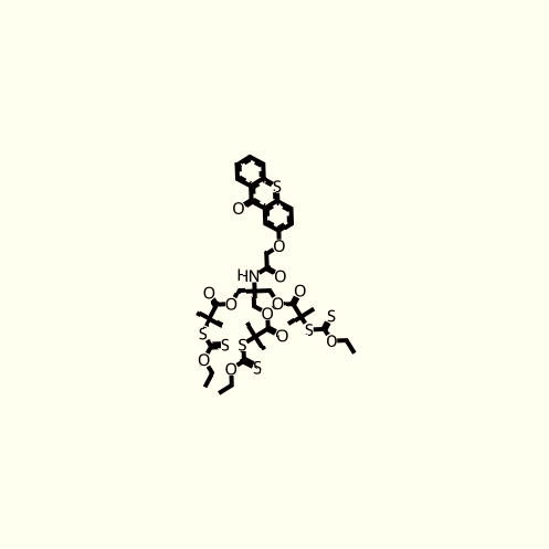 CCOC(=S)SC(C)(C)C(=O)OCC(COC(=O)C(C)(C)SC(=S)OCC)(COC(=O)C(C)(C)SC(=S)OCC)NC(=O)COc1ccc2sc3ccccc3c(=O)c2c1